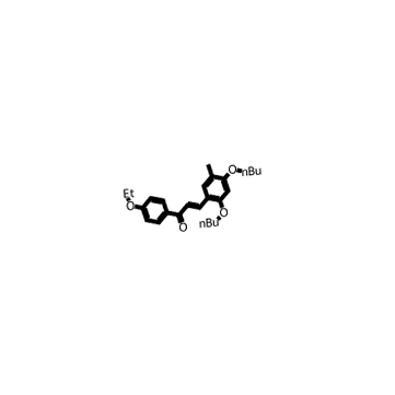 CCCCOc1cc(OCCCC)c(C=CC(=O)c2ccc(OCC)cc2)cc1C